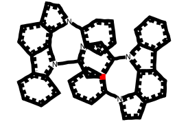 c1ccc(-n2ccc3ccc4c5ccccc5n(-c5cnc(-n6c7ccccc7c7ccc8ccn(-c9ccccc9)c8c76)cn5)c4c32)cc1